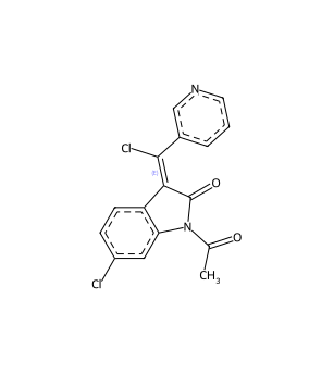 CC(=O)N1C(=O)/C(=C(/Cl)c2cccnc2)c2ccc(Cl)cc21